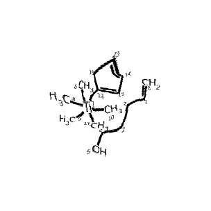 C=CCCCO.[CH3][Ti]([CH3])([CH3])([CH3])([CH3])[C]1=CC=CC1